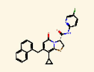 O=C(Nc1ccc(F)cn1)[C@@H]1CSc2c(C3CC3)c(Cc3cccc4ccccc34)cc(=O)n21